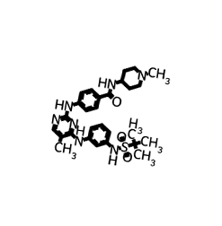 Cc1cnc(Nc2ccc(C(=O)NC3CCN(C)CC3)cc2)nc1Nc1cccc(NS(=O)(=O)C(C)(C)C)c1